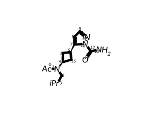 CC(=O)N(CC(C)C)[C@H]1C[C@@H](c2c[c]nn2C(N)=O)C1